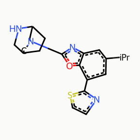 CC(C)c1cc(-c2nccs2)c2oc(N3CC4CCC(C3)NC4)nc2c1